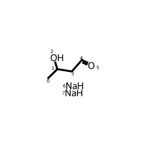 CC(O)CC=O.[NaH].[NaH]